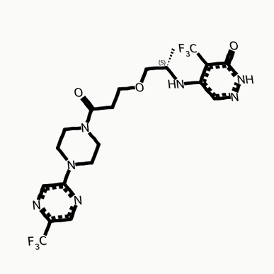 C[C@@H](COCCC(=O)N1CCN(c2cnc(C(F)(F)F)cn2)CC1)Nc1cn[nH]c(=O)c1C(F)(F)F